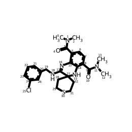 CN(C)C(=O)c1ccc(C(=O)N(C)C)c2c1N=C(NCc1cccc(Cl)c1)C1(CCSCC1)N2